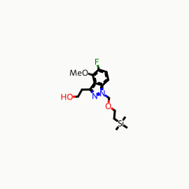 COc1c(F)ccc2c1c(CCO)nn2COCC[Si](C)(C)C